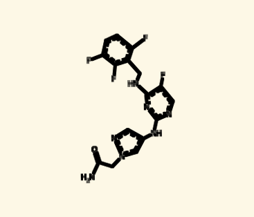 NC(=O)Cn1cc(Nc2ncc(F)c(NCc3c(F)ccc(F)c3F)n2)cn1